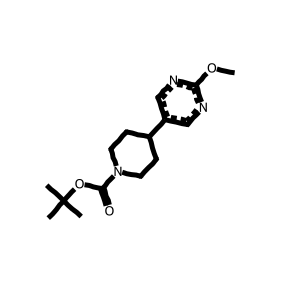 COc1ncc(C2CCN(C(=O)OC(C)(C)C)CC2)cn1